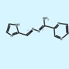 N/C(=N\N=C\c1ncc[nH]1)c1cnccn1